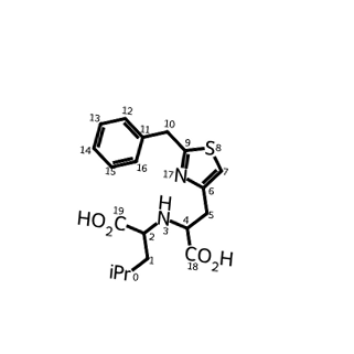 CC(C)CC(NC(Cc1csc(Cc2ccccc2)n1)C(=O)O)C(=O)O